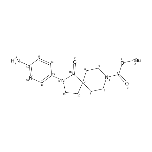 CC(C)(C)OC(=O)N1CCC2(CC1)CCN(c1ccc(N)nc1)C2=O